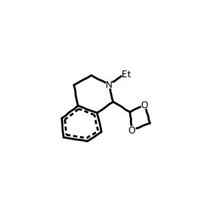 CCN1CCc2ccccc2C1C1OCO1